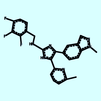 Cc1cccc(-c2[nH]c(NCc3ccc(F)c(F)c3F)nc2-c2ccc3c(cnn3C)c2)n1